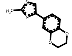 Cc1nc(-c2ccc3c(c2)OCCO3)cs1